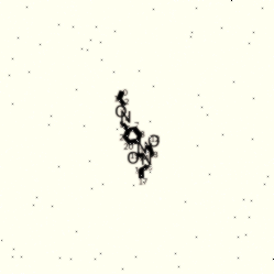 C=CCON=Cc1ccc(N2C(=O)CN(CC=C)C2=O)cc1